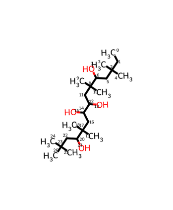 CCC(C)(C)CC(O)C(C)(C)CC(O)C(O)CC(C)(C)C(O)CC(C)(C)C